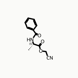 C[C@H](NC(=O)c1ccccc1)C(=O)OCC#N